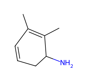 CC1=C(C)C(N)CC=C1